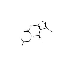 Cc1csc2[nH]c(=O)n(CC(F)F)c(=O)c12